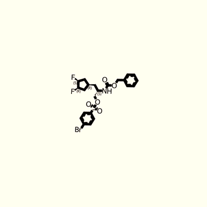 O=C(N[C@H](COS(=O)(=O)c1ccc(Br)cc1)C[C@H]1C[C@@H](F)[C@@H](F)C1)OCc1ccccc1